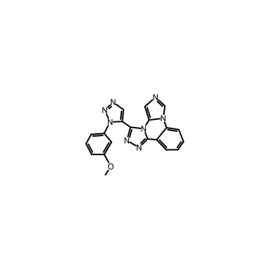 COc1cccc(-n2nncc2-c2nnc3c4ccccc4n4cncc4n23)c1